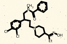 CCC(=NO)C1CCN(CCC(CN(C)C(=O)c2ccccc2)c2ccc(Cl)c(Cl)c2)CC1